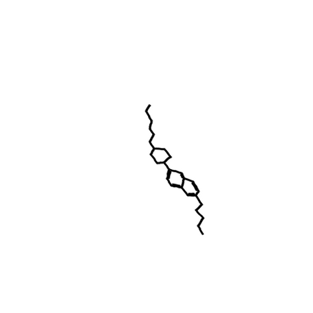 CCCCCCC1CCC(c2ccc3cc(CCCCC)ccc3c2)CC1